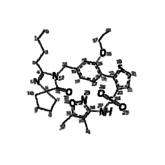 CCCCC1=NC2(CCCC2)C(=O)N1Cc1ccc(-c2sccc2S(=O)(=O)Nc2noc(C)c2C)c(OCC)c1